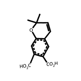 CC1(C)C=Cc2cc(C(=O)O)c(C(=O)O)cc2O1